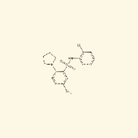 Nc1ccc(N2CCCC2)c(S(=O)(=O)Nc2ccccc2Cl)c1